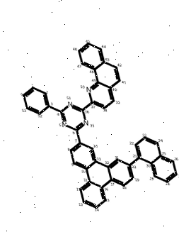 c1ccc(-c2nc(-c3ccc4c5ccccc5c5ccc(-c6cccc7ccccc67)cc5c4c3)nc(-c3ccc4ccc5ccccc5c4n3)n2)cc1